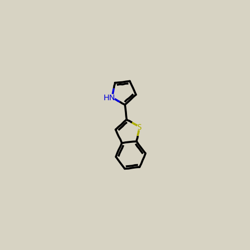 c1c[nH]c(-c2cc3ccccc3s2)c1